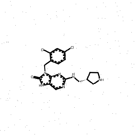 O=c1[nH]c2cnc(NC[C@@H]3CCNC3)nc2n1Cc1ccc(Cl)cc1Cl